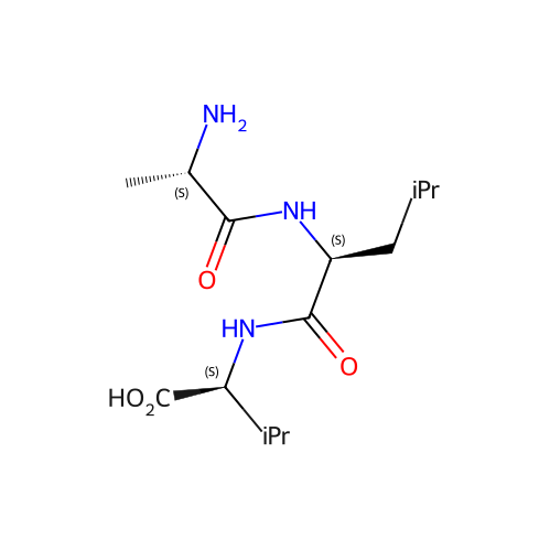 CC(C)C[C@H](NC(=O)[C@H](C)N)C(=O)N[C@H](C(=O)O)C(C)C